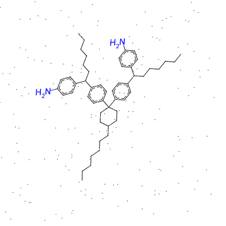 CCCCCCCC1CCC(c2ccc(C(CCCCCC)c3ccc(N)cc3)cc2)(c2ccc(C(CCCCCC)c3ccc(N)cc3)cc2)CC1